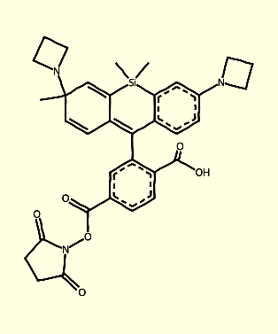 CC1(N2CCC2)C=CC2=C(c3cc(C(=O)ON4C(=O)CCC4=O)ccc3C(=O)O)c3ccc(N4CCC4)cc3[Si](C)(C)C2=C1